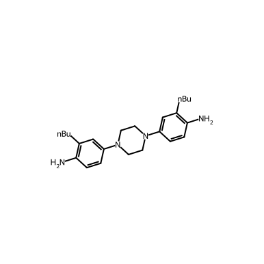 CCCCc1cc(N2CCN(c3ccc(N)c(CCCC)c3)CC2)ccc1N